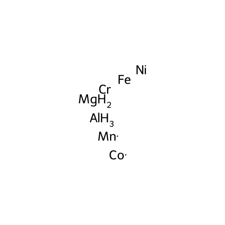 [AlH3].[Co].[Cr].[Fe].[MgH2].[Mn].[Ni]